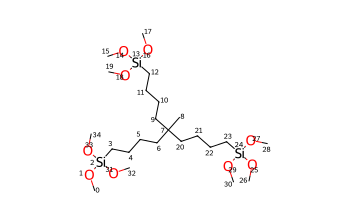 CO[Si](CCCCC(C)(CCCC[Si](OC)(OC)OC)CCCC[Si](OC)(OC)OC)(OC)OC